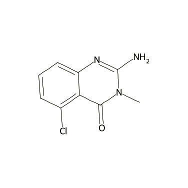 Cn1c(N)nc2cccc(Cl)c2c1=O